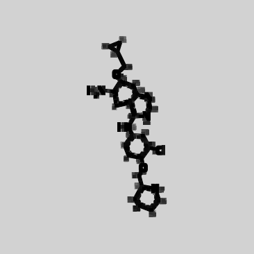 Nc1cc2c(Nc3ccc(OCc4ccccn4)c(Cl)c3)ncnc2cc1OCC1CC1